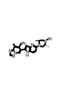 Cc1c(-c2[nH]c3ccc(N4C[C@@H](C)N(C(C)C)C[C@@H]4C)nc3c2C(C)C)cn2ncnc2c1C